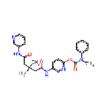 CN(C(=O)Oc1ccc(NC(=O)CC(C)(C)CC(=O)Nc2cccnc2)cn1)c1ccccc1